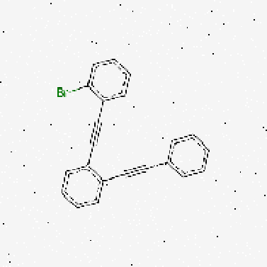 Brc1ccccc1C#Cc1ccccc1C#Cc1ccccc1